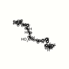 COc1ncc(-c2ccc3nccc(-c4ccc(COC(=O)OCCSSCC(NC(=O)CCC(=O)NCCNC(=O)c5cccc6c5CN(C(=O)C[C@@H]5C[C@@H](C(=O)N7CC(F)(F)C[C@H]7C#N)NC5=O)C6)C(=O)O)nc4)c3c2)cc1NS(=O)(=O)c1ccc(F)cc1F